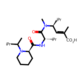 C/C(=C\[C@H](C(C)C)N(C)C(=O)[C@@H](NC(=O)[C@H]1CCCCN1C(C)C(C)C)C(C)C)C(=O)O